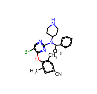 Cc1cc(C#N)cc(C)c1Oc1nc(N(C2CCNCC2)C(C)c2ccccc2)ncc1Br